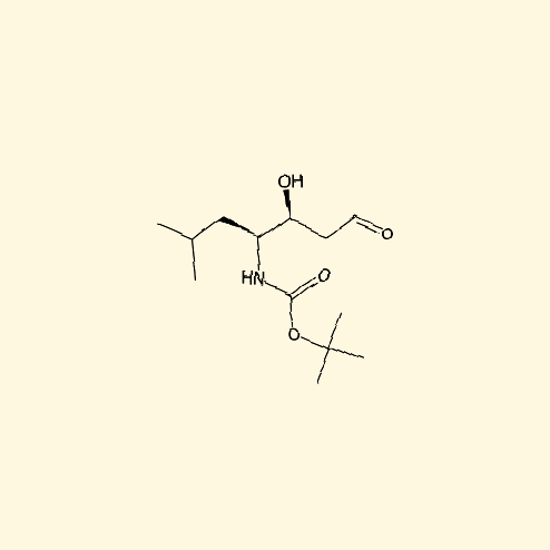 CC(C)C[C@H](NC(=O)OC(C)(C)C)[C@@H](O)CC=O